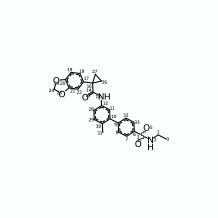 CCNS(=O)(=O)c1ccc(-c2cc(NC(=O)C3(c4ccc5c(c4)OCO5)CC3)ccc2C)cc1